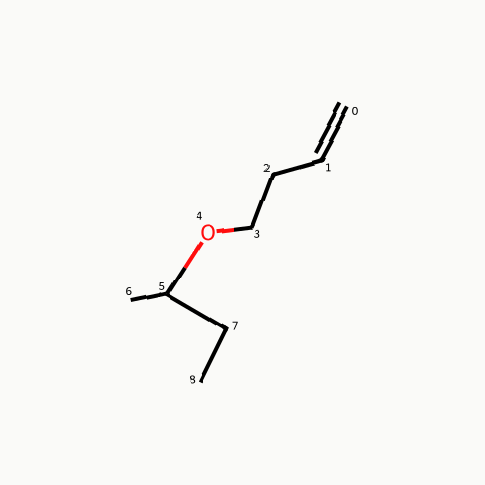 C=CCCO[C](C)CC